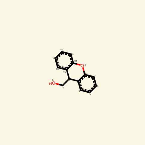 OCC1c2ccccc2Oc2ccccc21